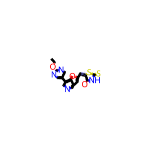 CCOc1ncc(-c2cncc3cc(/C=C4/SC(=S)NC4=O)oc23)cn1